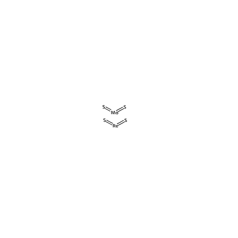 [S]=[Mo]=[S].[S]=[Re]=[S]